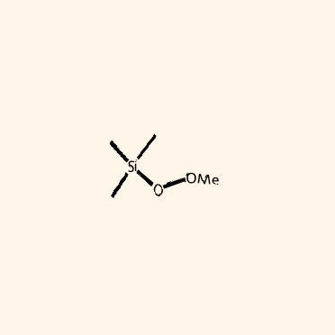 COO[Si](C)(C)C